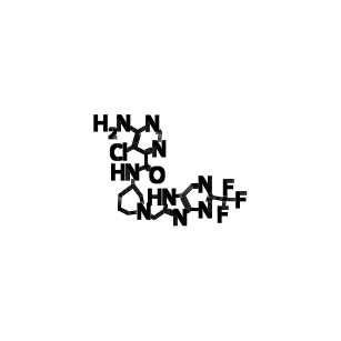 Nc1ncnc(C(=O)NC2CCCN(Cc3nc4nc(C(F)(F)F)ncc4[nH]3)C2)c1Cl